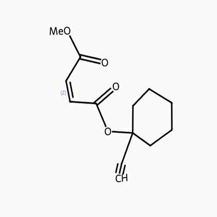 C#CC1(OC(=O)/C=C\C(=O)OC)CCCCC1